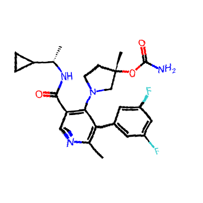 Cc1ncc(C(=O)N[C@@H](C)C2CC2)c(N2CC[C@](C)(OC(N)=O)C2)c1-c1cc(F)cc(F)c1